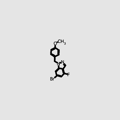 COc1ccc(Cn2ncc3c(F)cc(Br)cc32)cc1